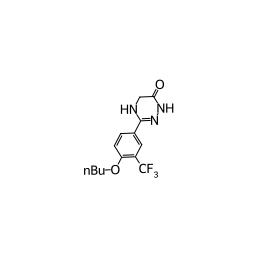 CCCCOc1ccc(C2=NNC(=O)CN2)cc1C(F)(F)F